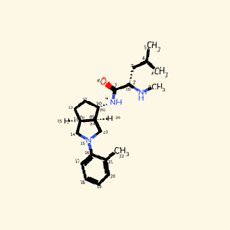 CN[C@@H](CC(C)C)C(=O)N[C@H]1CC[C@@H]2CN(c3ccccc3C)C[C@@H]21